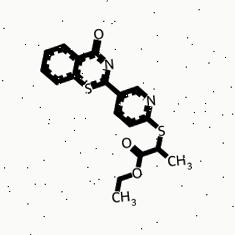 CCOC(=O)C(C)Sc1ccc(-c2nc(=O)c3ccccc3s2)cn1